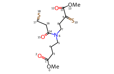 COC(=O)CCCN(CCC(=S)C(=O)OC)C(=O)CC=S